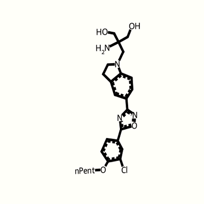 CCCCCOc1ccc(-c2nc(-c3ccc4c(c3)CCN4CC(N)(CO)CO)no2)cc1Cl